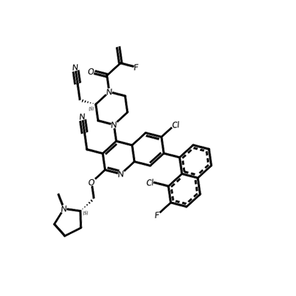 C=C(F)C(=O)N1CCN(C2=C(CC#N)C(OC[C@@H]3CCCN3C)=NC3C=C(c4cccc5ccc(F)c(Cl)c45)C(Cl)=CC23)C[C@@H]1CC#N